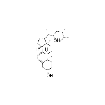 CC(C)[C@@H](C)C[C@@H](O)[C@@H](C)[C@H]1CC[C@H]2C3=CC=C4C[C@@H](O)CC[C@]4(C)[C@H]3CC[C@]12C